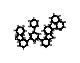 c1ccc(-c2nc(-c3cccc4oc5ccccc5c34)nc(-c3cccc4sc5c6c(ccc5c34)-c3cccc4cccc-6c34)n2)cc1